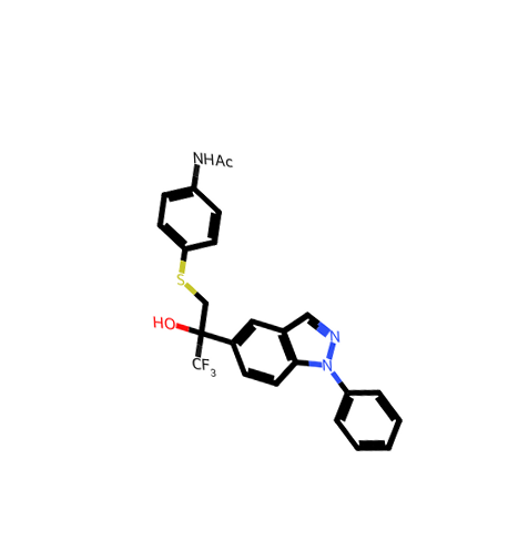 CC(=O)Nc1ccc(SCC(O)(c2ccc3c(cnn3-c3ccccc3)c2)C(F)(F)F)cc1